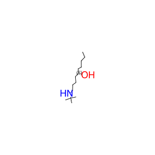 CCCCC[C@H](O)CCCCNC(C)(C)C